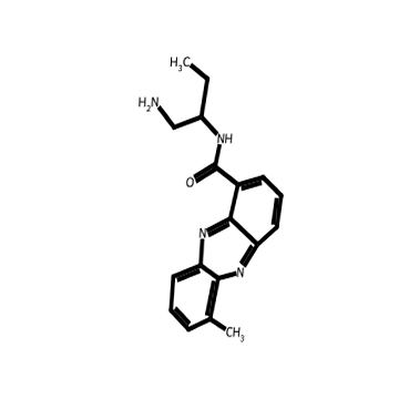 CCC(CN)NC(=O)c1cccc2nc3c(C)cccc3nc12